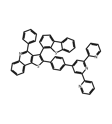 c1ccc(-c2nc3ccccc3c3sc(-c4ccc(-c5cc(-c6ccccn6)nc(-c6ccccn6)c5)cc4)c(-c4cccc5c4sc4ccccc45)c23)cc1